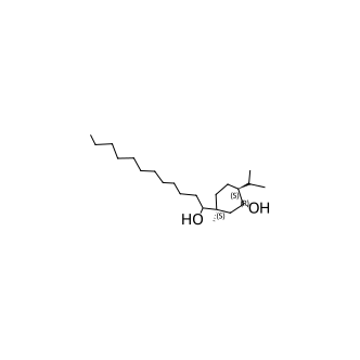 CCCCCCCCCCCC(O)[C@@]1(C)CC[C@@H](C(C)C)[C@H](O)C1